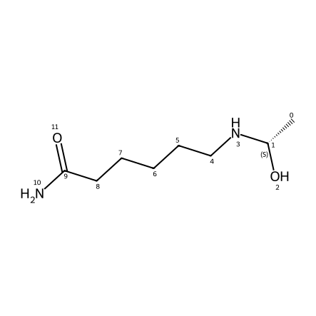 C[C@H](O)NCCCCCC(N)=O